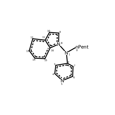 CCCCCN(c1ccncc1)n1ccc2ccccc21